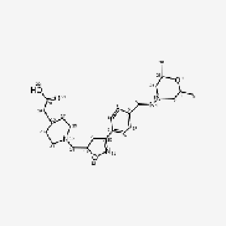 CC1CN(N=Cc2ccc(C3=NOC(CN4CCC(CC(=O)O)CC4)C3)cc2)CC(C)O1